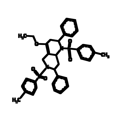 CCOC1=C2CN(S(=O)(=O)c3ccc(C)cc3)C(c3ccccc3)CC2N(S(=O)(=O)c2ccc(C)cc2)C(c2ccccc2)C1